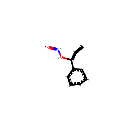 C=C=C(ON=O)c1ccccc1